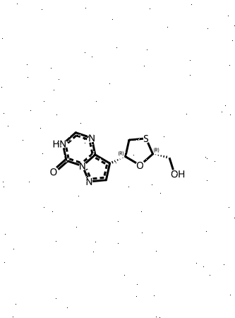 O=c1[nH]cnc2c([C@@H]3CS[C@H](CO)O3)cnn12